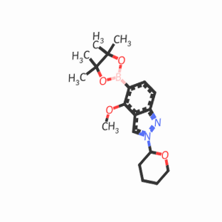 COc1c(B2OC(C)(C)C(C)(C)O2)ccc2nn(C3CCCCO3)cc12